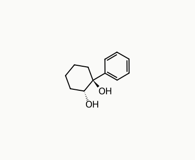 O[C@@H]1CCCC[C@]1(O)c1ccccc1